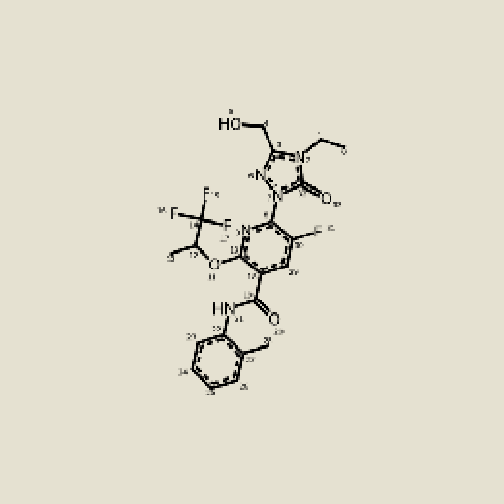 CCn1c(CO)nn(-c2nc(OC(C)C(F)(F)F)c(C(=O)Nc3ccccc3C)cc2F)c1=O